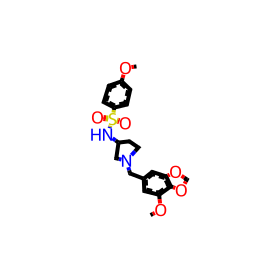 COc1ccc(S(=O)(=O)NC2CCN(Cc3cc(OC)c4c(c3)OCO4)C2)cc1